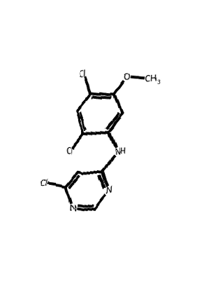 COc1cc(Nc2cc(Cl)ncn2)c(Cl)cc1Cl